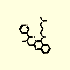 CN(C)CCCNc1nc(CN(C)C(=O)c2cnccn2)nc2ccccc12